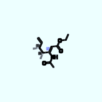 C=C[C@@H](C)[C@@H](C)/C(=C/C(=O)OCC)NC(C)=O